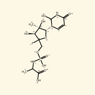 CC(NP(=O)(O)OCC1(F)O[C@@H](N2C=CC(=O)NC2O)[C@](C)(O)[C@@H]1O)C(=O)O